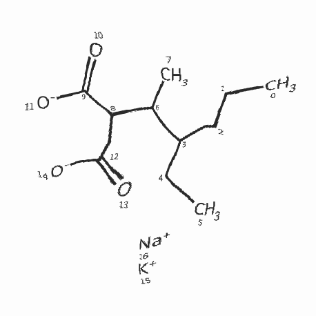 CCCC(CC)C(C)C(C(=O)[O-])C(=O)[O-].[K+].[Na+]